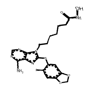 Nc1ncnc2c1nc(Sc1cc3c(cc1I)OCO3)n2CCCCCCC(=O)NO